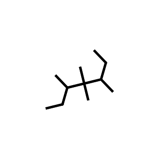 CCC(C)C(C)(C)C(C)CC